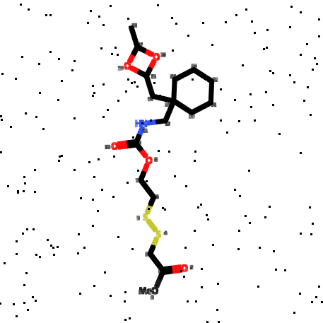 COC(=O)CSSCCOC(=O)NCC1(CC2OC(C)O2)CCCCC1